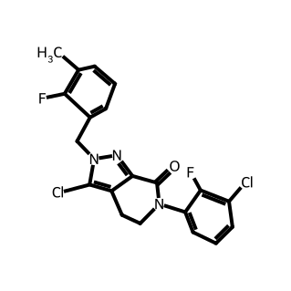 Cc1cccc(Cn2nc3c(c2Cl)CCN(c2cccc(Cl)c2F)C3=O)c1F